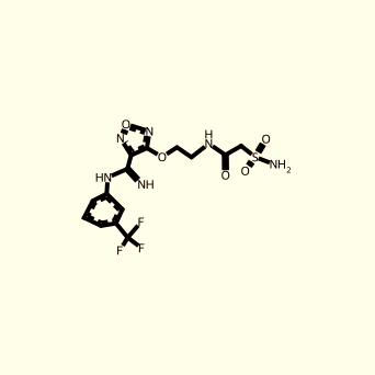 N=C(Nc1cccc(C(F)(F)F)c1)c1nonc1OCCNC(=O)CS(N)(=O)=O